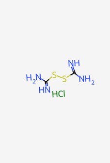 Cl.N=C(N)SSC(=N)N